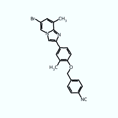 [C-]#[N+]c1ccc(COc2ccc(-c3cn4cc(Br)cc(C)c4n3)cc2C)cc1